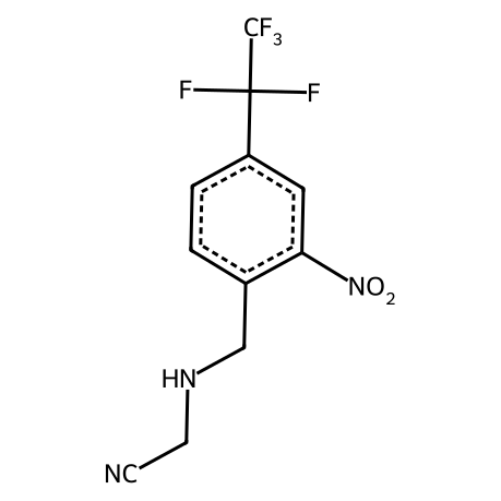 N#CCNCc1ccc(C(F)(F)C(F)(F)F)cc1[N+](=O)[O-]